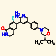 CC(C)[C@H]1CN(c2ccc(-c3cnc(N)c(-c4cc5c(cc4F)C(=O)NCC5)c3)cc2)CCO1